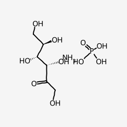 N.O=C(CO)[C@@H](O)[C@H](O)[C@H](O)CO.O=P(O)(O)O